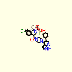 CC(C)N(CC(C(=O)N1CCN(c2c(-c3cccc(F)c3)cnc3[nH]ccc23)CC1)c1ccc(Cl)cc1)C(=O)O